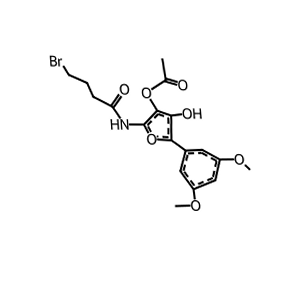 COc1cc(OC)cc(-c2oc(NC(=O)CCCBr)c(OC(C)=O)c2O)c1